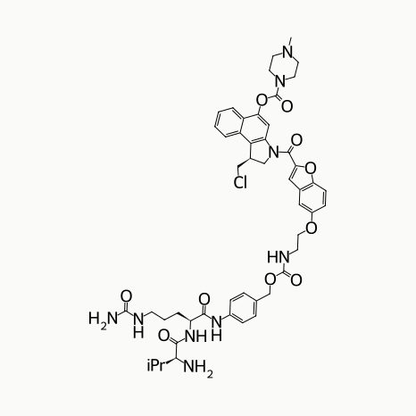 CC(C)[C@H](N)C(=O)N[C@@H](CCCNC(N)=O)C(=O)Nc1ccc(COC(=O)NCCOc2ccc3oc(C(=O)N4C[C@@H](CCl)c5c4cc(OC(=O)N4CCN(C)CC4)c4ccccc54)cc3c2)cc1